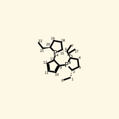 CC[C@H]1CC[C@H](CC)P1C1=CC=C[C@H]1P1[C@@H](CC)CC[C@@H]1CC